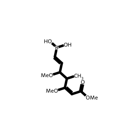 COC(=O)C=C(OC)C(C)C(C=CB(O)O)OC